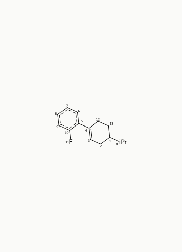 CC(C)C1CC=C(c2ccccc2F)CC1